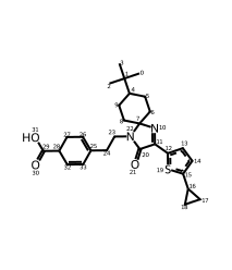 CC(C)(C)C1CCC2(CC1)N=C(c1ccc(C3CC3)s1)C(=O)N2CCC1=CCC(C(=O)O)C=C1